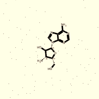 Nc1ncnc2c1ncn2[C@@H]1O[C@H](CO)[C@H](N)C1O